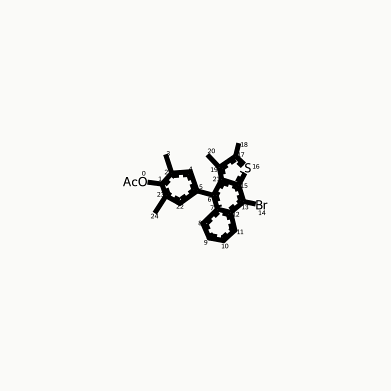 CC(=O)Oc1c(C)cc(-c2c3ccccc3c(Br)c3sc(C)c(C)c23)cc1C